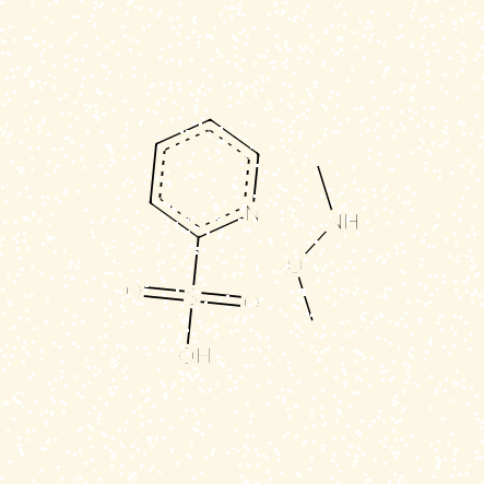 CNOC.O=S(=O)(O)c1ccccn1